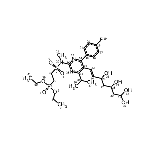 CCOP(=O)(CCS(=O)(=O)N(C)c1nc(-c2ccc(F)cc2)c(/C=C/[C@@H](O)C[C@@H](O)CC(O)O)c(C(C)C)n1)OCC